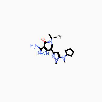 CC(C)[C@H](C)n1cc(-c2cc(N(C)C3CCCC3)n(C)n2)c2[nH]nc(N)c2c1=O